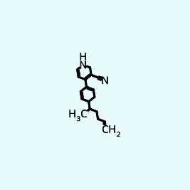 C=CCCC(C)C1C=CC(C2=C(C#N)CNC=C2)=CC1